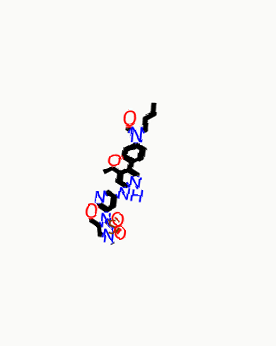 CCCCN(C=O)c1ccc2c(c1)OC(C)c1cc(Nc3cnc4c(c3)N3C(CO4)CN(C)S3(=O)=O)ncc1-2